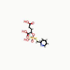 O=C(O)CCC(OP(=O)(SO)SCc1ccccn1)C(=O)O